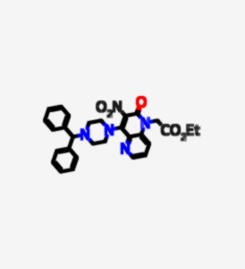 CCOC(=O)Cn1c(=O)c([N+](=O)[O-])c(N2CCN(C(c3ccccc3)c3ccccc3)CC2)c2ncccc21